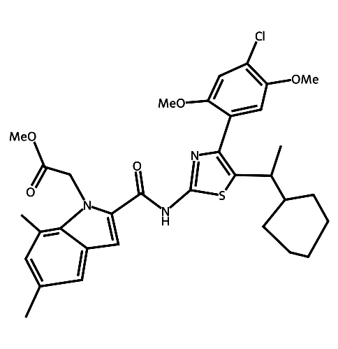 COC(=O)Cn1c(C(=O)Nc2nc(-c3cc(OC)c(Cl)cc3OC)c(C(C)C3CCCCC3)s2)cc2cc(C)cc(C)c21